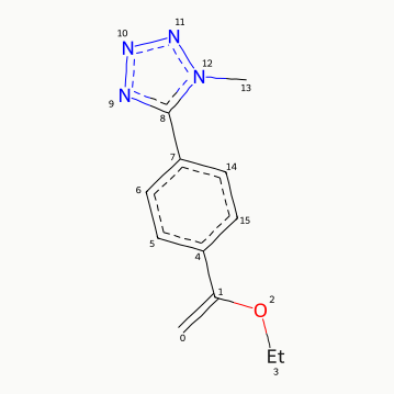 C=C(OCC)c1ccc(-c2nnnn2C)cc1